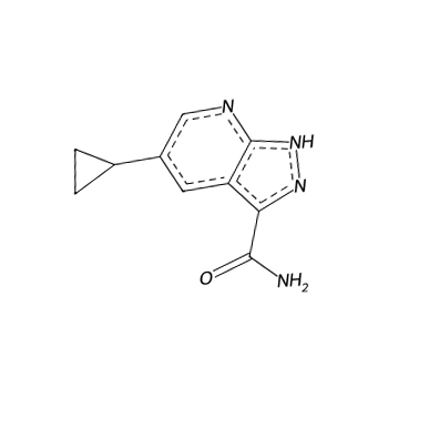 NC(=O)c1n[nH]c2ncc(C3CC3)cc12